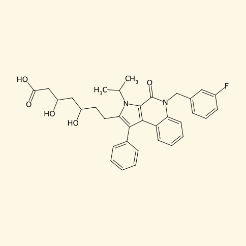 CC(C)n1c(CCC(O)CC(O)CC(=O)O)c(-c2ccccc2)c2c3ccccc3n(Cc3cccc(F)c3)c(=O)c21